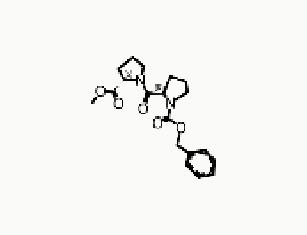 COC(=O)[C@@H]1CCCN1C(=O)[C@H]1CCCN1C(=O)OCc1ccccc1